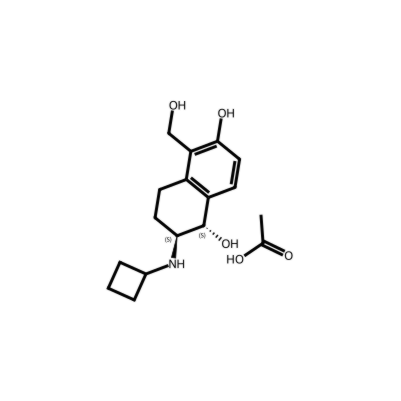 CC(=O)O.OCc1c(O)ccc2c1CC[C@H](NC1CCC1)[C@H]2O